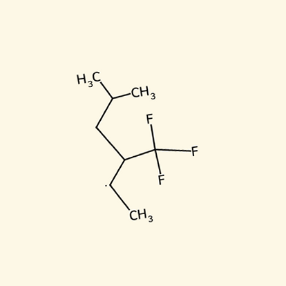 C[CH]C(CC(C)C)C(F)(F)F